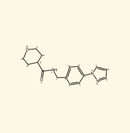 O=C(NCc1ccc(-n2cccn2)cc1)C1CCOCC1